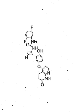 O=C1CCc2c(Oc3ccc(O)c([C@@H]4[C@@H]5CC45NC(=O)Nc4cc(F)ccc4F)c3)ccnc2N1